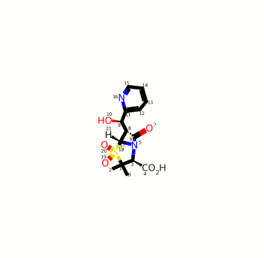 CC1(C)[C@H](C(=O)O)N2C(=O)[C@@H]([C@@H](O)c3ccccn3)[C@H]2S1(=O)=O